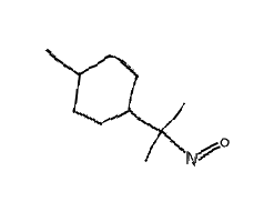 CC1CCC(C(C)(C)N=O)CC1